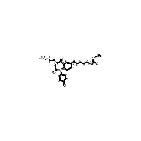 CCOC(=O)CCN1CC(=O)N(c2ccc(Cl)cc2)c2ccc(CCCCCNC(=O)OC(C)(C)C)cc2C1=O